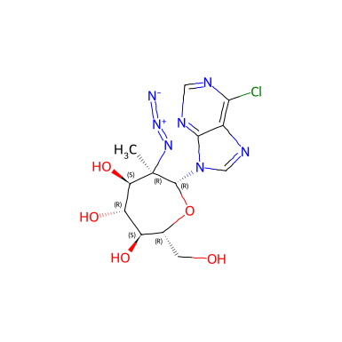 C[C@@]1(N=[N+]=[N-])[C@H](O)[C@@H](O)[C@H](O)[C@@H](CO)O[C@H]1n1cnc2c(Cl)ncnc21